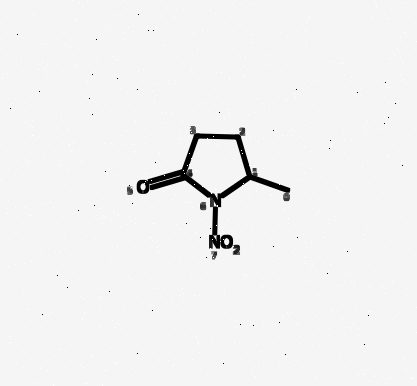 CC1CCC(=O)N1[N+](=O)[O-]